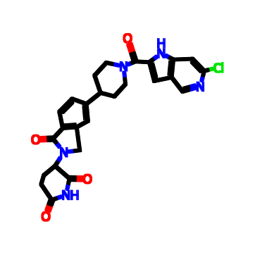 O=C1CCC(N2Cc3cc(C4CCN(C(=O)c5cc6cnc(Cl)cc6[nH]5)CC4)ccc3C2=O)C(=O)N1